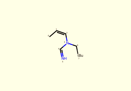 C/C=C\N(C=N)CC(C)(C)C